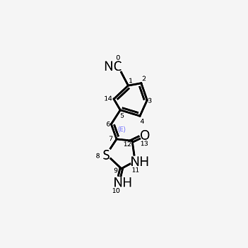 N#Cc1cccc(/C=C2/SC(=N)NC2=O)c1